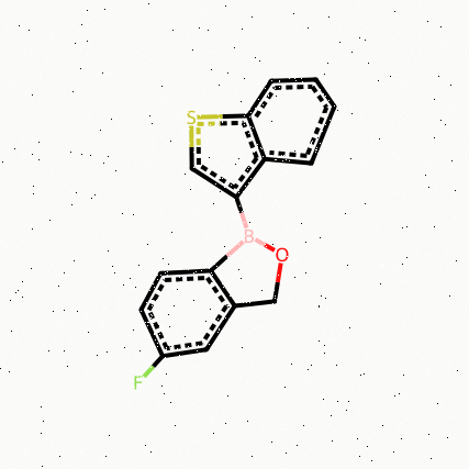 Fc1ccc2c(c1)COB2c1csc2ccccc12